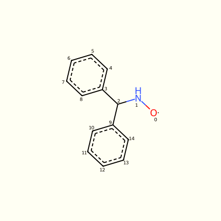 [O]NC(c1ccccc1)c1ccccc1